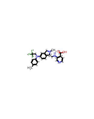 Cc1ccc(N(CC(F)(F)F)c2ccc3c(c2)CN(C)[C@H]3CNc2cnccc2C(=O)O)cc1